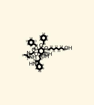 Cc1c[nH]c(C(=O)OC2C(OCc3ccccc3)C(OCc3ccccc3)C(OCCCCCCCO)C(O)C2(O)CCc2c[nH]c3ccccc23)n1